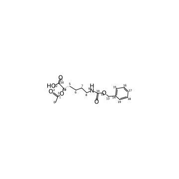 CC(=O)O[C@@H](CCCCNC(=O)OCc1ccccc1)C(=O)O